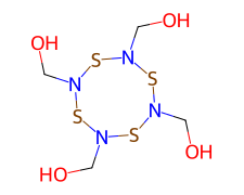 OCN1SN(CO)SN(CO)SN(CO)S1